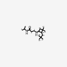 CC(C)NC(=O)CCNC1CC(C)(C)C1CC(C)(C)C